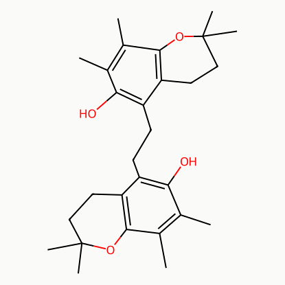 Cc1c(C)c2c(c(CCc3c(O)c(C)c(C)c4c3CCC(C)(C)O4)c1O)CCC(C)(C)O2